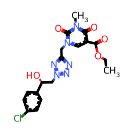 CCOC(=O)c1cn(Cc2nnn(C[C@H](O)c3ccc(Cl)cc3)n2)c(=O)n(C)c1=O